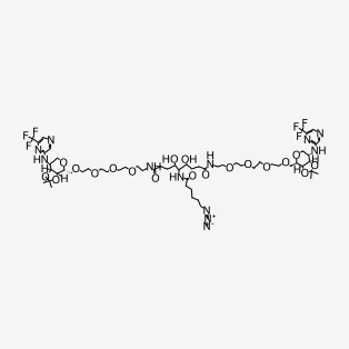 CC1(C)O[C@@H]2[C@H](O1)[C@@H](Nc1cncc(C(F)(F)F)n1)CO[C@@H]2COCCOCCOCCOCCNC(=O)CCC(O)C(NC(=O)CCCCCN=[N+]=[N-])C(O)CCC(=O)NCCOCCOCCOCCOC[C@H]1OC[C@H](Nc2cncc(C(F)(F)F)n2)[C@H]2OC(C)(C)O[C@H]21